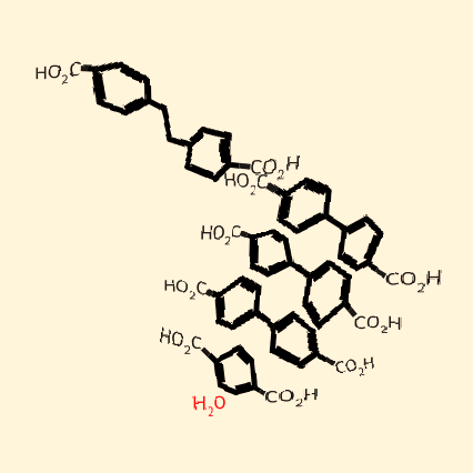 O.O=C(O)c1ccc(-c2ccc(C(=O)O)cc2)cc1.O=C(O)c1ccc(-c2ccc(C(=O)O)cc2)cc1.O=C(O)c1ccc(-c2ccc(C(=O)O)cc2)cc1.O=C(O)c1ccc(C(=O)O)cc1.O=C(O)c1ccc(CCc2ccc(C(=O)O)cc2)cc1